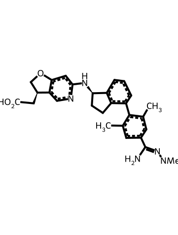 CN/N=C(\N)c1cc(C)c(-c2cccc3c2CC[C@H]3Nc2cc3c(cn2)[C@@H](CC(=O)O)CO3)c(C)c1